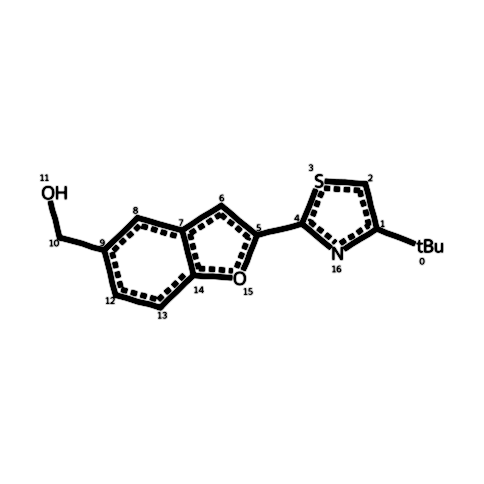 CC(C)(C)c1csc(-c2cc3cc(CO)ccc3o2)n1